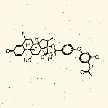 CC(=O)Oc1ccc(Oc2ccc(C(=O)O[C@]3(C(=O)O)[C@H](C)C[C@H]4[C@@H]5C[C@H](F)C6=CC(=O)C=C[C@]6(C)[C@@]5(F)[C@@H](O)C[C@@]43C)cc2)cc1Cl